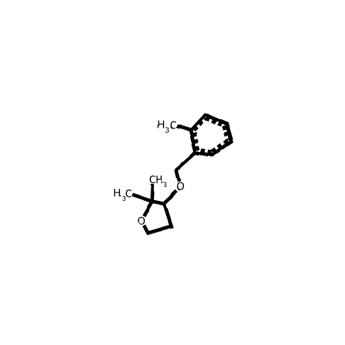 Cc1ccccc1COC1CCOC1(C)C